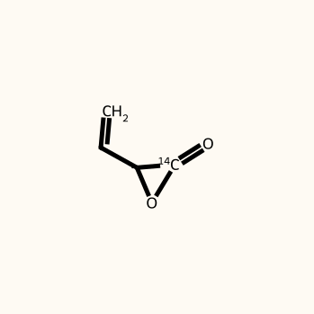 C=C[C]1O[14C]1=O